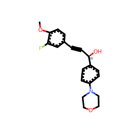 COc1ccc(C#C[C@@H](O)c2ccc(N3CCOCC3)cc2)cc1F